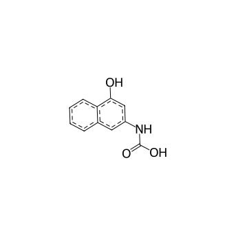 O=C(O)Nc1cc(O)c2ccccc2c1